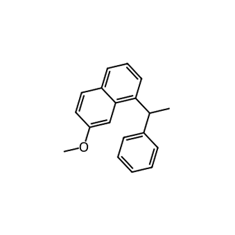 COc1ccc2cccc(C(C)c3ccccc3)c2c1